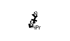 CC(C)[C@@H]1CC[N+]1(C)CC(C)(C)C1CN(C)C1